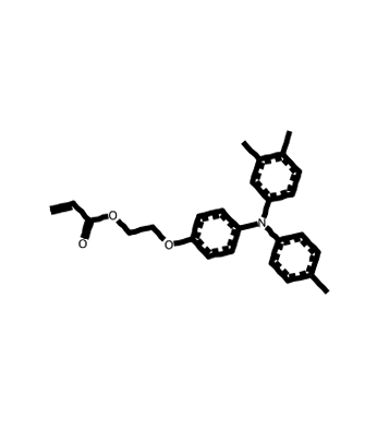 C=CC(=O)OCCOc1ccc(N(c2ccc(C)cc2)c2ccc(C)c(C)c2)cc1